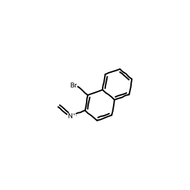 C=[N+]c1ccc2ccccc2c1Br